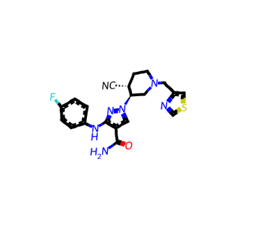 N#C[C@@H]1CCN(Cc2cscn2)C[C@H]1n1cc(C(N)=O)c(Nc2ccc(F)cc2)n1